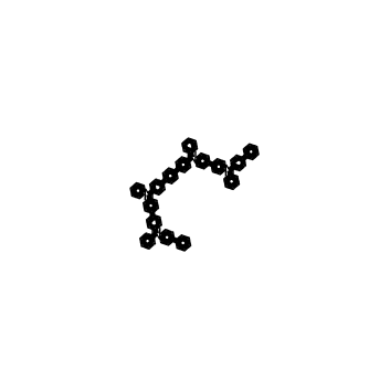 C1=CC(N(c2ccc(-c3ccc(C4=CC=C(N(c5ccccc5)c5ccc(C6=CCC(N(c7ccccc7)c7ccc(-c8ccccc8)cc7)C=C6)cc5)CC4)cc3)cc2)c2ccc(-c3ccc(N(C4=CCC(c5ccccc5)C=C4)c4ccccc4)cc3)cc2)=CCC1